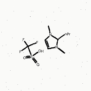 CCCC1N(C)C=CN1C.O=S(=O)(O)C(F)(F)F